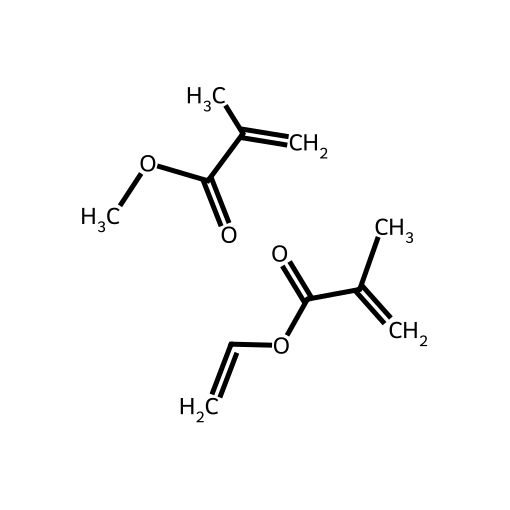 C=C(C)C(=O)OC.C=COC(=O)C(=C)C